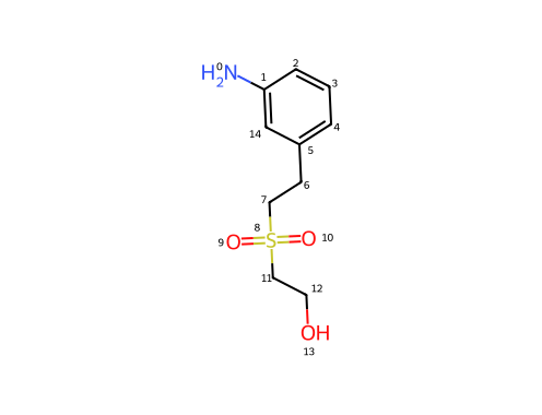 Nc1cccc(CCS(=O)(=O)CCO)c1